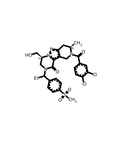 CCC(c1ccc(S(C)(=O)=O)cc1)N1C[C@@H](CO)n2nc3c(c2C1=O)CN(C(=O)c1ccc(Cl)c(Cl)c1)[C@H](C)C3